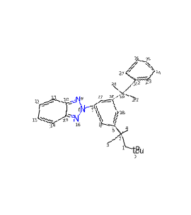 CC(C)(C)CC(C)(C)c1cc(-n2nc3ccccc3n2)cc(C(C)(C)c2ccccc2)c1